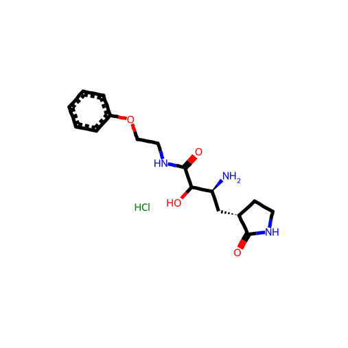 Cl.N[C@@H](C[C@@H]1CCNC1=O)C(O)C(=O)NCCOc1ccccc1